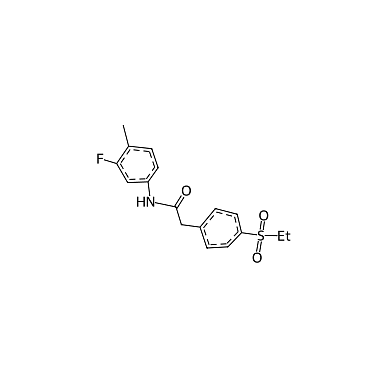 CCS(=O)(=O)c1ccc(CC(=O)Nc2ccc(C)c(F)c2)cc1